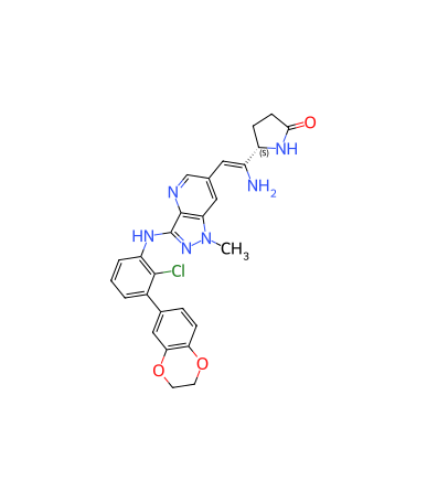 Cn1nc(Nc2cccc(-c3ccc4c(c3)OCCO4)c2Cl)c2ncc(C=C(N)[C@@H]3CCC(=O)N3)cc21